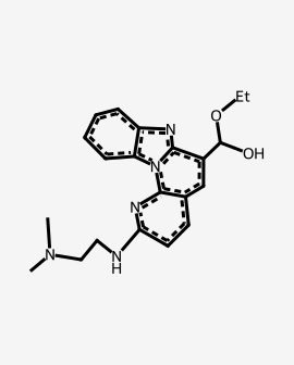 CCOC(O)c1cc2ccc(NCCN(C)C)nc2n2c1nc1ccccc12